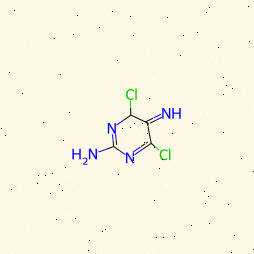 N=C1C(Cl)=NC(N)=NC1Cl